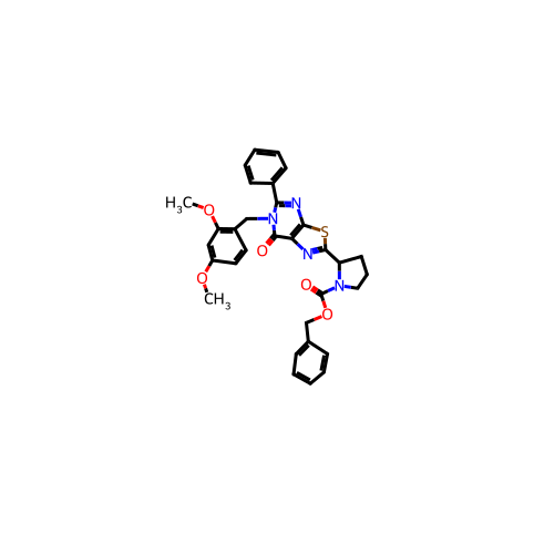 COc1ccc(Cn2c(-c3ccccc3)nc3sc(C4CCCN4C(=O)OCc4ccccc4)nc3c2=O)c(OC)c1